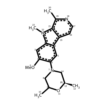 COc1cc2c(cc1N1CC(C)O[C@H](C)C1)c1ccnc(C)c1n2C